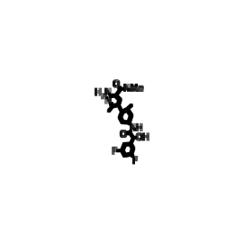 CNC(=O)c1cc(-c2ccc(NC(=O)C(O)c3cc(F)cc(F)c3)cc2C)c(C)nc1N